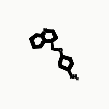 Nc1ccc(OCc2ccnc3ccccc23)cc1